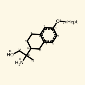 CCCCCCCOc1ccc2c(c1)CCC(C(C)(N)CO)C2